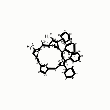 CC1=CC2=CC3=NC(=CC4=NC(=C(c5ccccc5)C5=NC(=C(C)C1=N2)C(C)=C5c1ccccc1)C(c1ccccc1)=C4c1ccccc1)C=C3